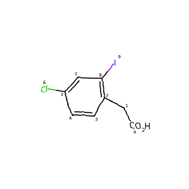 O=C(O)Cc1ccc(Cl)cc1I